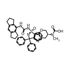 CN(C(=O)O)[C@@H]1COc2c(S(=O)(=NC(c3ccccc3)(c3ccccc3)c3ccccc3)NC(=O)Nc3c4c(cc5c3CCC5)CCC4)cnn2C1